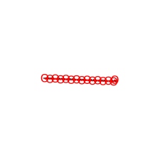 C=CC(=O)OCCCCOCCCCOCCCCOCCCCOCCCCOCCCCOCCCCOCCCCOCCCCOCCCCOCCCCOCCCCOCCCCOC